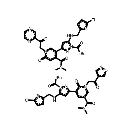 CN(C)C(=O)c1cc(-c2cc(NCc3ccc(Cl)s3)n(C(=O)C(C)(C)C)n2)c(=O)n(CC(=O)c2cnoc2)c1.CN(C)C(=O)c1cc(=O)n(CC(=O)c2cnccn2)cc1-c1cc(NCc2ccc(Cl)s2)n(C(=O)C(C)(C)C)n1